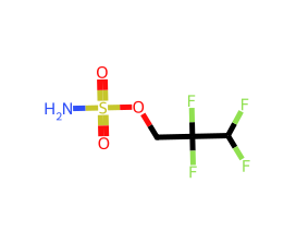 NS(=O)(=O)OCC(F)(F)C(F)F